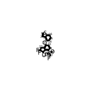 O=C1c2c(S(=O)(=O)CF)ccc(Oc3cccc4sccc34)c2CC1(F)F